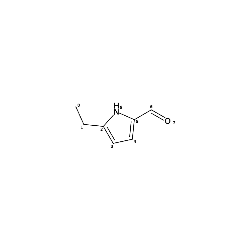 CCc1ccc(C=O)[nH]1